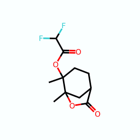 CC1(OC(=O)C(F)F)CCC2CC1(C)OC2=O